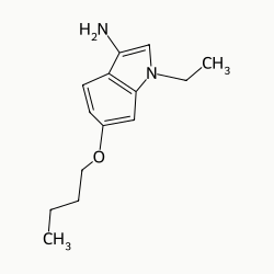 CCCCOc1ccc2c(N)cn(CC)c2c1